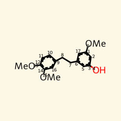 COc1cc(O)cc(CCc2ccc(OC)c(OC)c2)c1